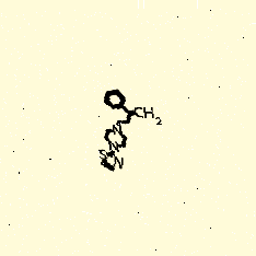 C=C(CCN1CCN(c2nccs2)CC1)c1ccccc1